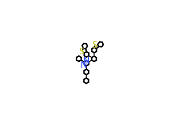 c1ccc(-c2ccc(-c3cc(-c4cccc(-c5ccc6sc7ccccc7c6c5)c4-c4ccc5sc6ccccc6c5c4)nc(-c4ccccc4)n3)cc2)cc1